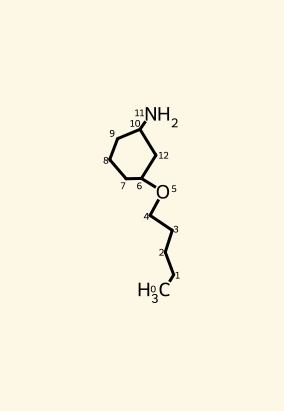 CCCCCOC1CCCC(N)C1